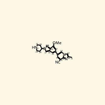 COc1cc(-c2cc(C#N)c3nc(C)cn3c2)cc2cn(C3CCNCC3)nc12